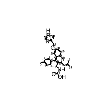 Cc1ccc(-c2c(CNC(=O)O)c(CC(C)C)nc3ccc(OCc4nn[nH]n4)cc23)cc1